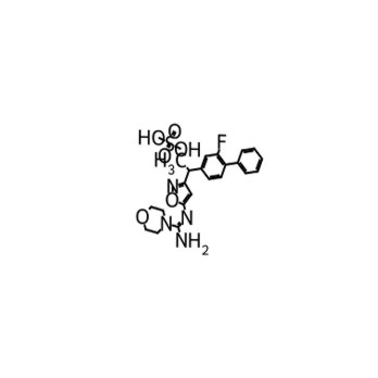 CC(c1ccc(-c2ccccc2)c(F)c1)c1cc(N=C(N)N2CCOCC2)on1.O=S(=O)(O)O